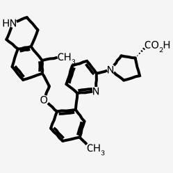 Cc1ccc(OCc2ccc3c(c2C)CCNC3)c(-c2cccc(N3CC[C@@H](C(=O)O)C3)n2)c1